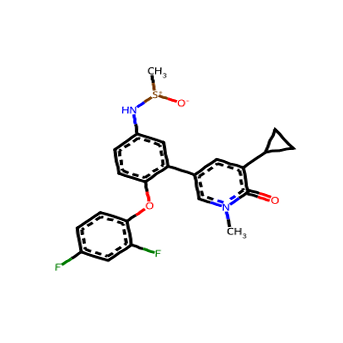 Cn1cc(-c2cc(N[S+](C)[O-])ccc2Oc2ccc(F)cc2F)cc(C2CC2)c1=O